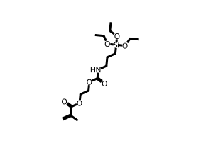 C=C(C)C(=O)OCCOC(=O)NCCC[Si](OCC)(OCC)OCC